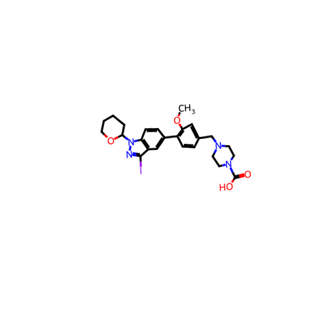 COc1cc(CN2CCN(C(=O)O)CC2)ccc1-c1ccc2c(c1)c(I)nn2C1CCCCO1